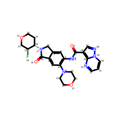 O=C(Nc1cc2c(cc1N1CCOCC1)C(=O)N([C@H]1CCOC[C@@H]1F)C2)c1cnn2cccnc12